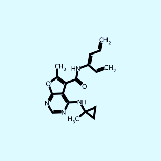 C=C/C=C(\C=C)NC(=O)c1c(C)oc2ncnc(NC3(C)CC3)c12